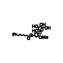 COc1cc(COC(=O)CCCCCCC(C)C)ccc1OC1OC(CO)C(O)C(O)C1O